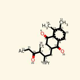 CCCC(CC1CC(=O)c2c(ccc(C)c2C)C1=O)C(CC)C(=O)CC(C)=O